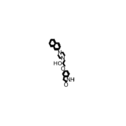 O=C1Cc2cc(OC[C@@H](O)CN3CCN(c4ccc5ccccc5c4)CC3)ccc2N1